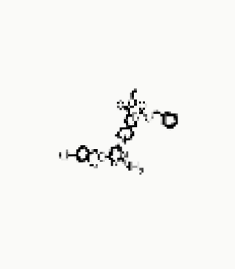 CCOC(=O)C1CC2(CCN(c3cc(OCc4ccc(Cl)cc4Br)nc(N)n3)CC2)CN1C(=O)OCc1ccccc1